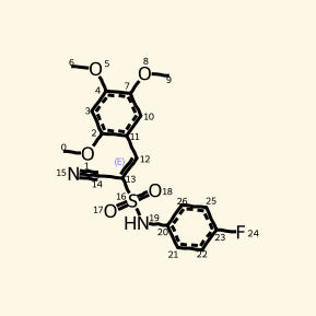 COc1cc(OC)c(OC)cc1/C=C(\C#N)S(=O)(=O)Nc1ccc(F)cc1